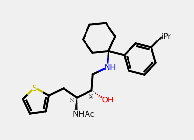 CC(=O)N[C@@H](Cc1cccs1)[C@@H](O)CNC1(c2cccc(C(C)C)c2)CCCCC1